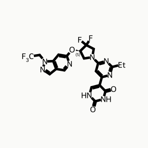 CCc1nc(-c2c[nH]c(=O)[nH]c2=O)cc(N2C[C@H](Oc3cc4c(cn3)cnn4CC(F)(F)F)C(F)(F)C2)n1